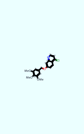 COc1cc(COc2ccc3c(Cl)ccnc3c2)cc(OC)c1OC